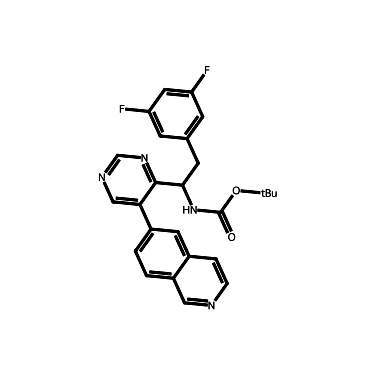 CC(C)(C)OC(=O)NC(Cc1cc(F)cc(F)c1)c1ncncc1-c1ccc2cnccc2c1